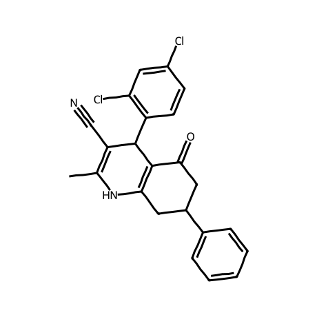 CC1=C(C#N)C(c2ccc(Cl)cc2Cl)C2=C(CC(c3ccccc3)CC2=O)N1